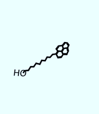 OCCCCCCCCCCCc1ccc2ccc3cccc4ccc1c2c34